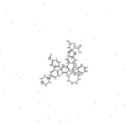 COc1ccc(C2(c3ccc(N4CCOCC4)cc3)C=Cc3c4c(c5cc6c(cc5c3O2)SC(CC(C)C)(CC(C)C)O6)-c2ccccc2C42CCCCCCC2)cc1